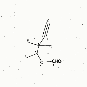 C#CC(C)(C)C(C)O[C]=O